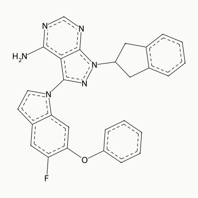 Nc1ncnc2c1c(-n1ccc3cc(F)c(Oc4ccccc4)cc31)nn2C1Cc2ccccc2C1